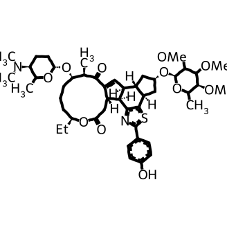 CC[C@H]1CCC[C@H](O[C@H]2CC[C@H](N(C)C)C(C)O2)[C@@H](C)C(=O)C2=C[C@H]3[C@@H]4C[C@H](O[C@@H]5OC(C)[C@H](OC)C(OC)C5OC)C[C@H]4c4sc(-c5ccc(O)cc5)nc4[C@H]3[C@@H]2CC(=O)O1